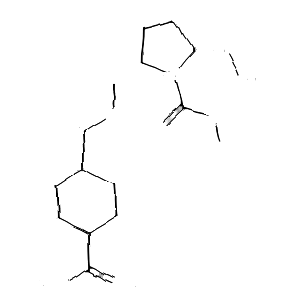 COC[C@H]1CC[C@@H](COCC2CCC(C(=O)OC)CC2)N1C(=O)OC(C)(C)C